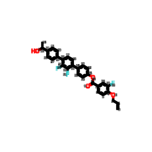 C=CCOc1ccc(C(=O)Oc2ccc(-c3ccc(-c4ccc(C(C)O)cc4)c(F)c3F)cc2)cc1F